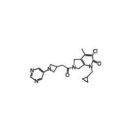 Cc1c2c(n(CC3CC3)c(=O)c1Cl)CN(C(=O)CC1CN(c3cncnc3)C1)C2